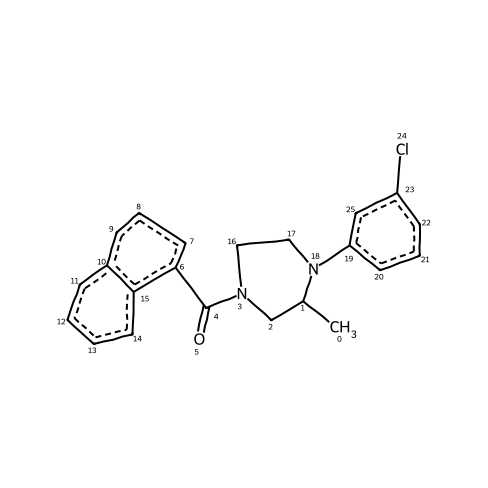 CC1CN(C(=O)c2cccc3ccccc23)CCN1c1cccc(Cl)c1